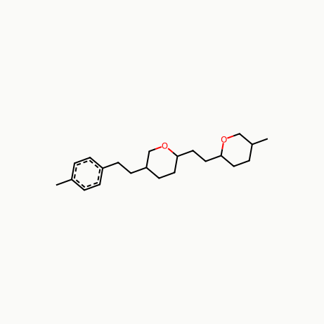 Cc1ccc(CCC2CCC(CCC3CCC(C)CO3)OC2)cc1